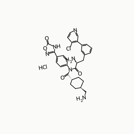 Cl.NC[C@H]1CC[C@H](C(=O)N(C(=O)[C@@H](N)Cc2cccc(-c3cnccc3Cl)c2)c2ccc(-c3noc(=O)[nH]3)cc2)CC1